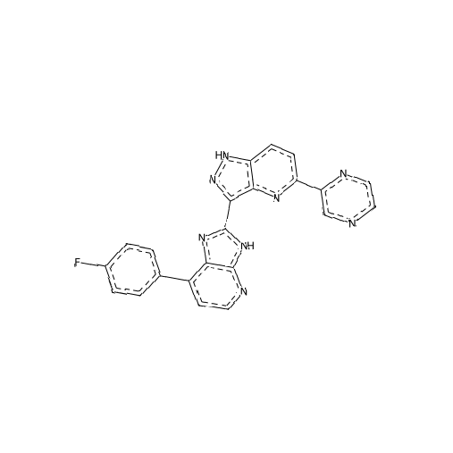 Fc1ccc(-c2ccnc3[nH]c(-c4n[nH]c5ccc(-c6cnccn6)nc45)nc23)cc1